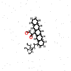 CC[Si](CC)(CC)CCc1cccc2cc3cc4cc5ccccc5cc4c(C(=O)C=O)c3cc12